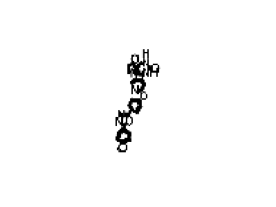 COc1ccc(-c2nnc(-c3ccc(Oc4ccc(N5CCCC56C(=O)NC(=O)NC6=O)cn4)cc3)o2)cc1